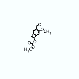 COC(=O)OC1=Cc2cc(C=O)c(OC)cc21